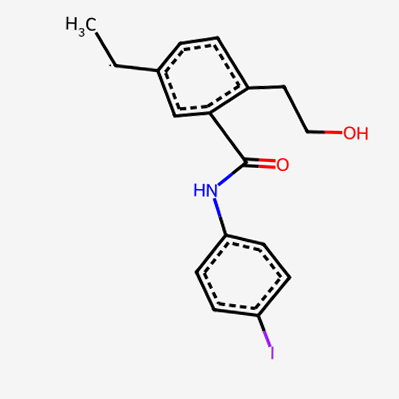 C[CH]c1ccc(CCO)c(C(=O)Nc2ccc(I)cc2)c1